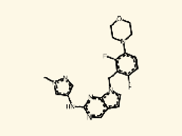 Cn1cc(Nc2ncc3ccn(Cc4c(F)ccc(N5CCOCC5)c4F)c3n2)cn1